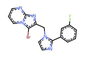 Fc1cccc(-c2nccn2Cc2nc3ncccn3c2Br)c1